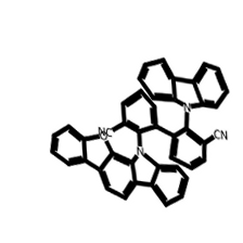 N#Cc1cccc(-c2cccc(C#N)c2-n2c3ccccc3c3ccc4c5ccccc5oc4c32)c1-n1c2ccccc2c2ccccc21